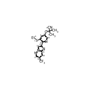 CCSc1cc(OC(C)(C)C#N)cnc1-c1cn2ncc(C(F)(F)F)cc2n1